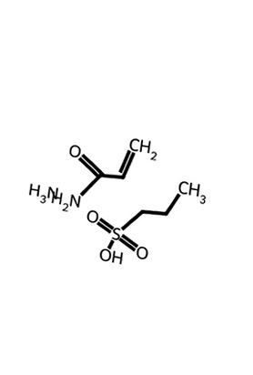 C=CC(N)=O.CCCS(=O)(=O)O.N